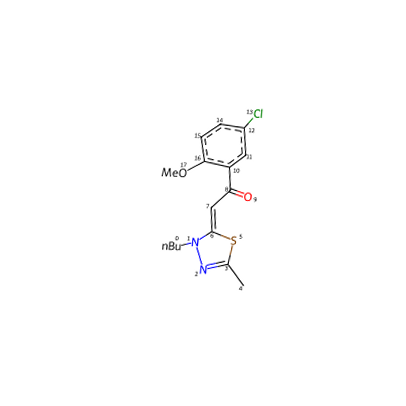 CCCCN1N=C(C)SC1=CC(=O)c1cc(Cl)ccc1OC